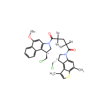 [2H]C([2H])(CC([2H])([2H])C(=O)N1C[C@@H](CCl)c2c1cc(C)c1scc(C)c21)C(=O)N1C[C@@H](CCl)c2c1cc(OC(C)(C)C)c1ccccc21